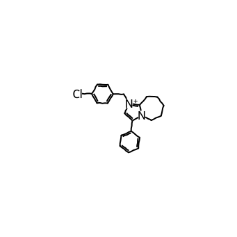 Clc1ccc(C[n+]2cc(-c3ccccc3)n3c2CCCCC3)cc1